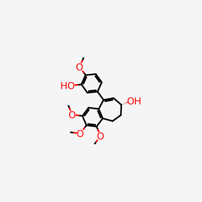 COc1ccc(C2=C[C@H](O)CCc3c2cc(OC)c(OC)c3OC)cc1O